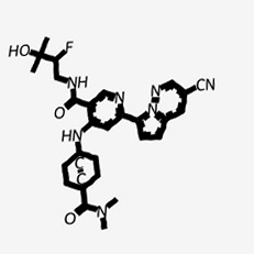 CN(C)C(=O)C12CCC(Nc3cc(-c4ccc5cc(C#N)cnn45)ncc3C(=O)NCC(F)C(C)(C)O)(CC1)CC2